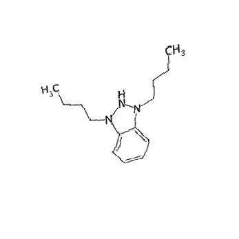 CCCCN1NN(CCCC)c2ccccc21